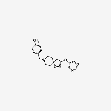 Cc1ccc(CN2CCC3(CC2)CC(Oc2cncnc2)=NO3)cc1